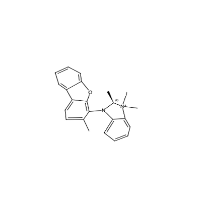 Cc1ccc2c(oc3ccccc32)c1N1c2ccccc2[N+](C)(I)[C@@H]1C